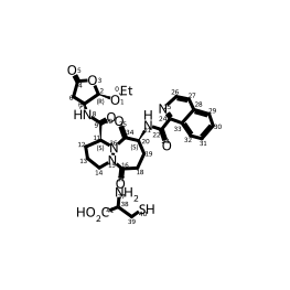 CCO[C@@H]1OC(=O)C[C@@H]1NC(=O)[C@@H]1CCCN2C(=O)CC[C@H](NC(=O)c3nccc4ccccc34)C(=O)N12.NC(CS)C(=O)O